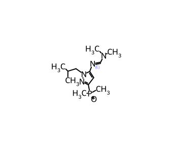 CC(C)Cn1nc(P(C)(C)=O)cc1/N=C/N(C)C